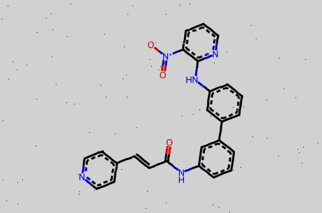 O=C(/C=C/c1ccncc1)Nc1cccc(-c2cccc(Nc3ncccc3[N+](=O)[O-])c2)c1